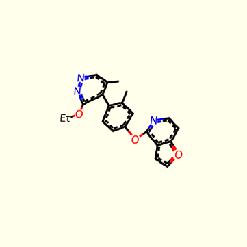 CCOc1nncc(C)c1-c1ccc(Oc2nccc3occc23)cc1C